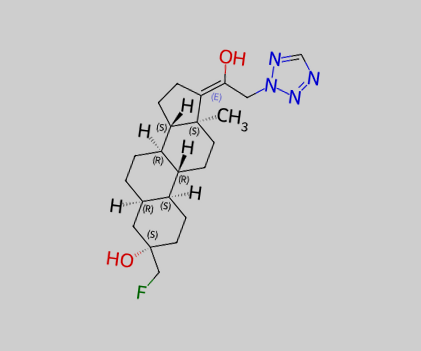 C[C@]12CC[C@H]3[C@@H](CC[C@@H]4C[C@](O)(CF)CC[C@@H]43)[C@@H]1CC/C2=C(\O)Cn1ncnn1